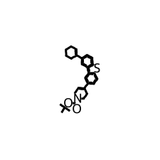 CC(C)(C)OC(=O)N1CC=C(c2ccc3sc4ccc(C5=CCCCC5)cc4c3c2)CC1